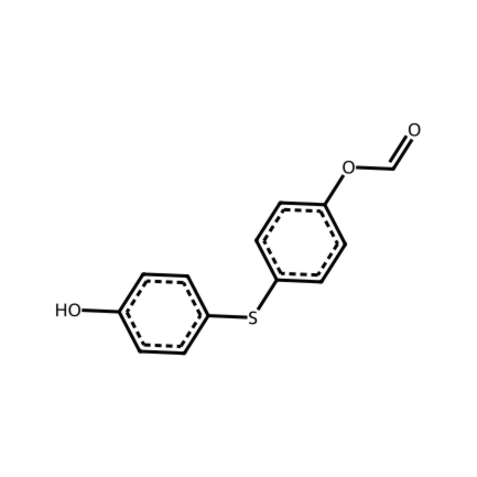 O=COc1ccc(Sc2ccc(O)cc2)cc1